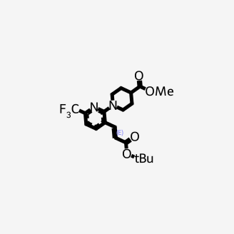 COC(=O)C1CCN(c2nc(C(F)(F)F)ccc2/C=C/C(=O)OC(C)(C)C)CC1